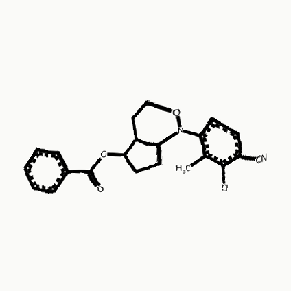 Cc1c(N2OCCC3C(OC(=O)c4ccccc4)CCC32)ccc(C#N)c1Cl